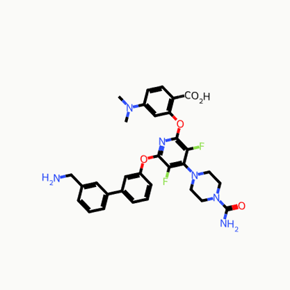 CN(C)c1ccc(C(=O)O)c(Oc2nc(Oc3cccc(-c4cccc(CN)c4)c3)c(F)c(N3CCN(C(N)=O)CC3)c2F)c1